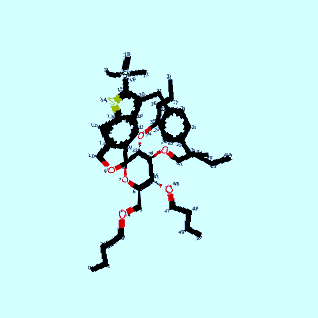 CCCCOC[C@H]1O[C@]2(OCc3cc4sc([Si](C)(C)C)c(Cc5ccc(CC)cc5)c4cc32)[C@H](OCCCC)[C@@H](OCCCC)[C@@H]1OCCCC